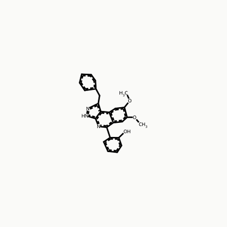 COc1cc2c(-c3ccccc3O)nc3[nH]nc(Cc4ccccc4)c3c2cc1OC